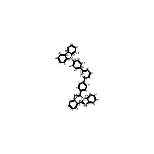 c1cc(-c2ccc(-c3nc4ccccc4c4nc5ccccc5n34)cc2)nc(-c2ccc(-n3c4ccccc4c4ccccc43)cc2)c1